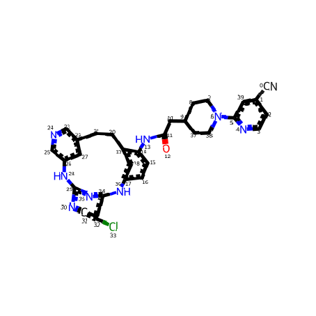 N#Cc1ccnc(N2CCC(CC(=O)Nc3ccc4cc3CCc3cncc(c3)Nc3ncc(Cl)c(n3)N4)CC2)c1